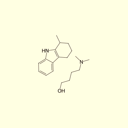 CC1CCCc2c1[nH]c1ccccc21.CN(C)CCCCO